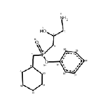 NCC(O)CP(=O)(CC1CCCCC1)Oc1ccccc1